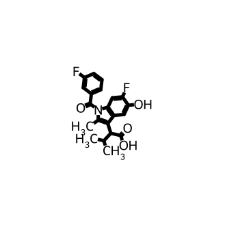 Cc1c(C(C(=O)O)C(C)C)c2cc(O)c(F)cc2n1C(=O)c1cccc(F)c1